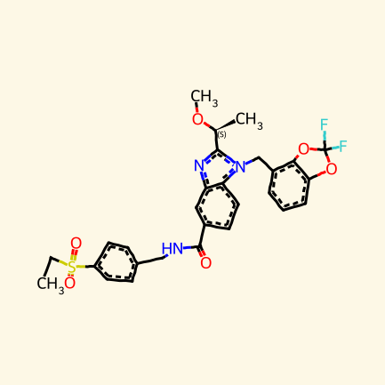 CCS(=O)(=O)c1ccc(CNC(=O)c2ccc3c(c2)nc([C@H](C)OC)n3Cc2cccc3c2OC(F)(F)O3)cc1